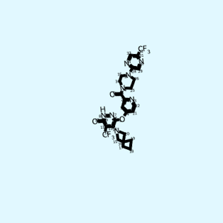 O=C(c1cc(Oc2n[nH]c(=O)c(C(F)(F)F)c2N2CC3(CCC3)C2)ccn1)N1CCN(c2cnc(C(F)(F)F)cn2)CC1